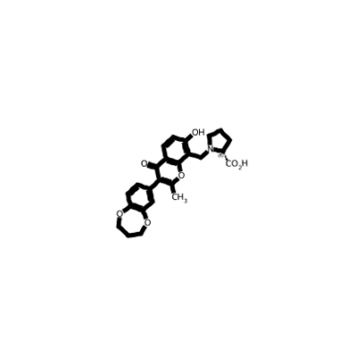 Cc1oc2c(CN3CCC[C@@H]3C(=O)O)c(O)ccc2c(=O)c1-c1ccc2c(c1)OCCCO2